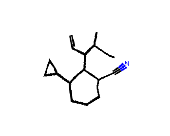 C=CC(C(C)C)C1C(C#N)CCCC1C1CC1